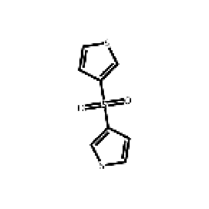 O=S(=O)(c1ccsc1)c1ccsc1